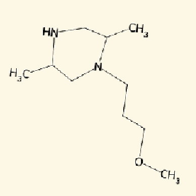 COCCCN1CC(C)NCC1C